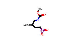 CSC(CC[PH](=O)O)CNC(=O)OC(C)(C)C